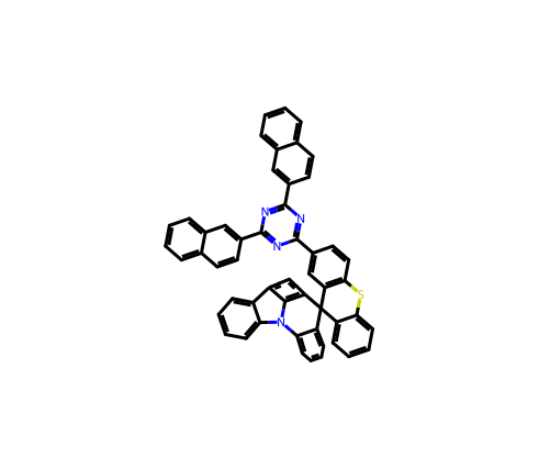 c1ccc2c(c1)Sc1ccc(-c3nc(-c4ccc5ccccc5c4)nc(-c4ccc5ccccc5c4)n3)cc1C21c2ccccc2-n2c3ccccc3c3cccc1c32